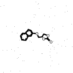 O=C1OCC(COc2ccc3ccccc3c2)O1